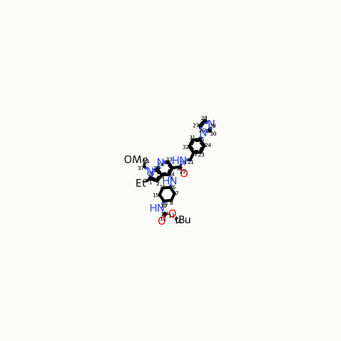 CCc1cc2c(NC3CCC(NC(=O)OC(C)(C)C)CC3)c(C(=O)NCc3ccc(-n4ccnc4)cc3)cnc2n1COC